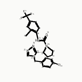 Cc1cc(C(F)(F)F)ccc1NC(=O)N1CCC[C@@H]1c1nncn1Cc1ccc(Cl)cc1